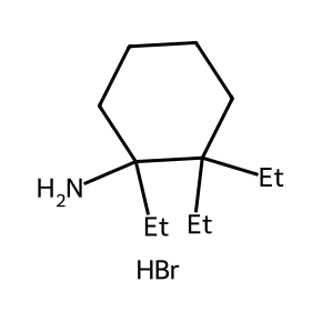 Br.CCC1(N)CCCCC1(CC)CC